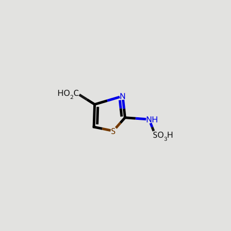 O=C(O)c1csc(NS(=O)(=O)O)n1